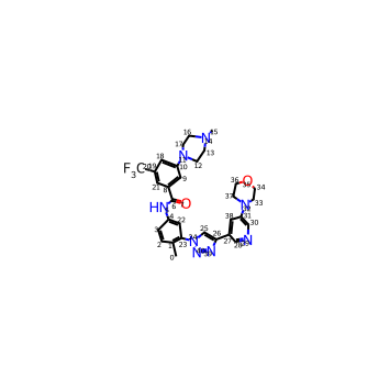 Cc1ccc(NC(=O)c2cc(N3CCN(C)CC3)cc(C(F)(F)F)c2)cc1-n1cc(-c2cncc(N3CCOCC3)c2)nn1